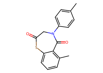 Cc1ccc(N2CC(=O)Sc3cccc(C)c3C2=O)cc1